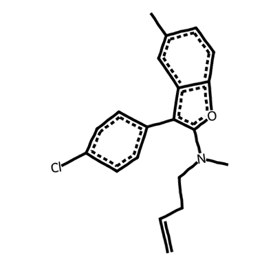 C=CCCN(C)c1oc2ccc(C)cc2c1-c1ccc(Cl)cc1